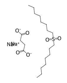 CCCCCCCCS(=O)(=O)CCCCCCCC.O=C([O-])CCC(=O)[O-].[Na+].[Na+]